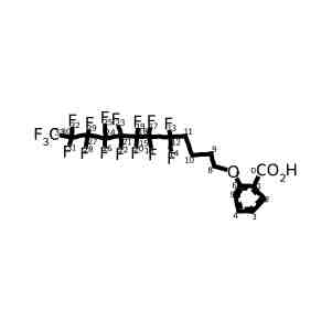 O=C(O)c1ccccc1OCCCCC(F)(F)C(F)(F)C(F)(F)C(F)(F)C(F)(F)C(F)(F)C(F)(F)C(F)(F)F